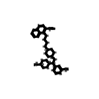 COc1ccc2ccccc2c1CCCCN1CCN(CC(c2cccc(C#N)c2)N2CCN(C(C)C)CC2)CC1